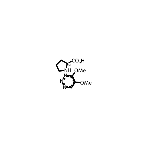 COc1cnnnc1OC.O=C(O)[C@@H]1CCCN1